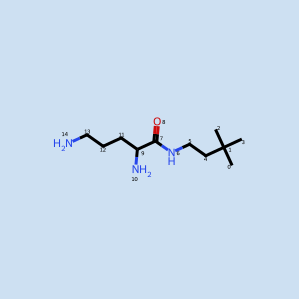 CC(C)(C)CCNC(=O)C(N)CCCN